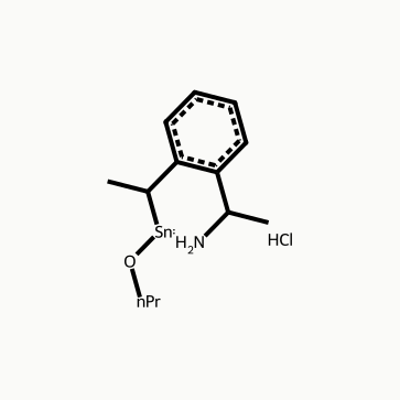 CCC[O][Sn][CH](C)c1ccccc1C(C)N.Cl